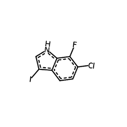 Fc1c(Cl)ccc2c(I)c[nH]c12